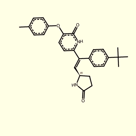 Cc1ccc(Oc2ccc(C(=C[C@H]3CCC(=O)N3)c3ccc(C(C)(C)C)cc3)[nH]c2=O)cc1